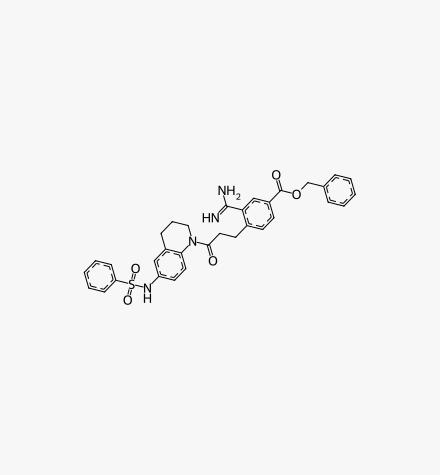 N=C(N)c1cc(C(=O)OCc2ccccc2)ccc1CCC(=O)N1CCCc2cc(NS(=O)(=O)c3ccccc3)ccc21